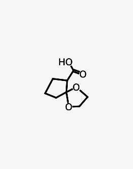 O=C(O)C1CCCC12OCCO2